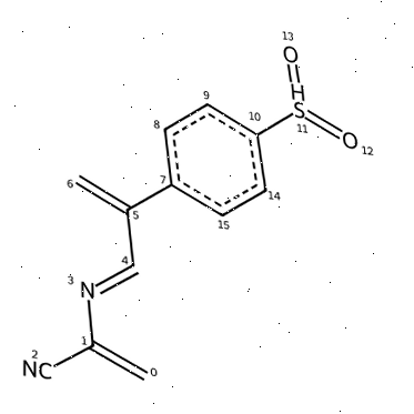 C=C(C#N)/N=C/C(=C)c1ccc([SH](=O)=O)cc1